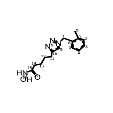 Cc1ccccc1Cn1cc(CCCCC(=O)NO)nn1